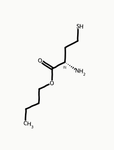 CCCCOC(=O)[C@@H](N)CCS